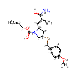 C=CCOC(=O)N1C[C@@H](SCc2ccc(OC)cc2)C[C@H]1/C=C(\C)C(N)=O